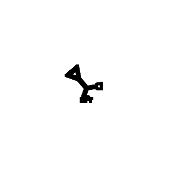 [CH2]CCC(Cl)C1CC1